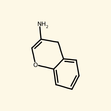 NC1=COc2ccccc2C1